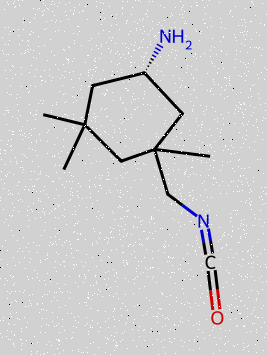 CC1(C)C[C@H](N)CC(C)(CN=C=O)C1